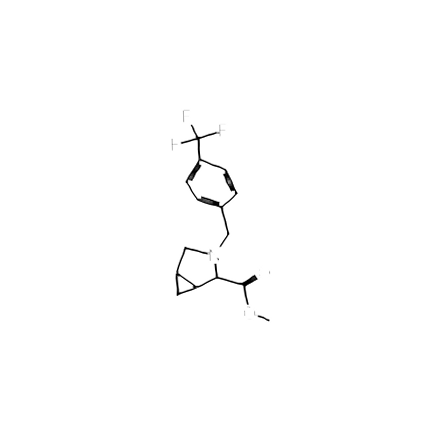 COC(=O)C1C2CC2CN1Cc1ccc(C(F)(F)F)cc1